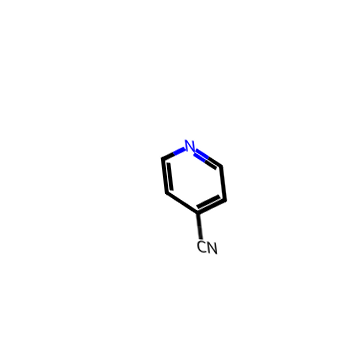 N#[13C]c1ccncc1